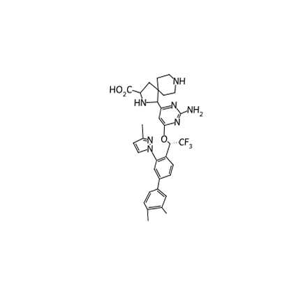 Cc1ccn(-c2cc(-c3ccc(C)c(C)c3)ccc2[C@H](Oc2cc(C3NC(C(=O)O)CC34CCNCC4)nc(N)n2)C(F)(F)F)n1